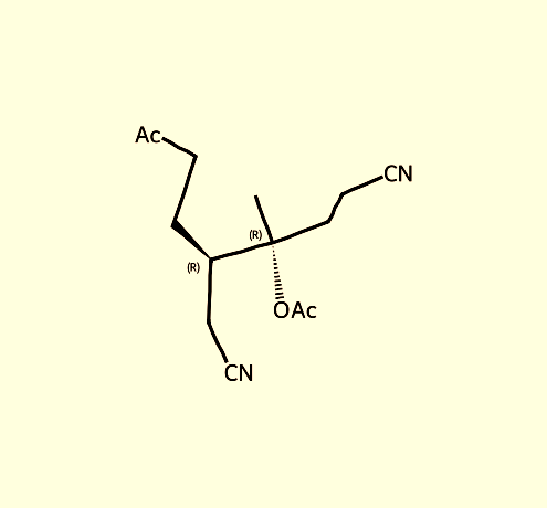 CC(=O)CC[C@H](CC#N)[C@@](C)(CCC#N)OC(C)=O